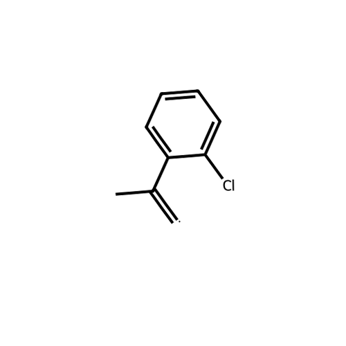 [CH]=C(C)c1ccccc1Cl